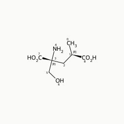 C[C@H](C[C@@](N)(CO)C(=O)O)C(=O)O